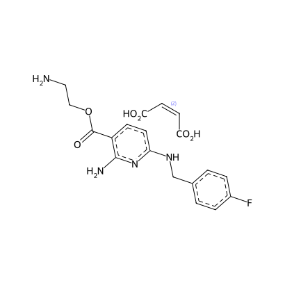 NCCOC(=O)c1ccc(NCc2ccc(F)cc2)nc1N.O=C(O)/C=C\C(=O)O